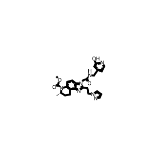 COC(=O)N1c2ccc3c(nc(CCn4cccn4)n3CC(=O)NCc3ccnc(O)c3)c2CC[C@@H]1C